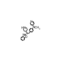 CN(c1ccncc1)c1ccc(CN(c2nc3ccccc3o2)C2CCNCC2)cc1